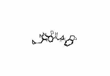 Clc1c(NC[C@H]2C[C@@H]2c2cccc3c2CCO3)ccn2c(CC3CC3)nnc12